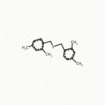 Cc1ccc(CSCc2ccc(C)cc2C)c(C)c1